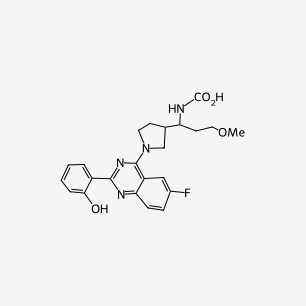 COCCC(NC(=O)O)C1CCN(c2nc(-c3ccccc3O)nc3ccc(F)cc23)C1